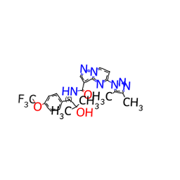 Cc1nnn(-c2ccn3ncc(C(=O)N[C@@H](c4ccc(OC(F)(F)F)cc4)C(C)(C)O)c3n2)c1C